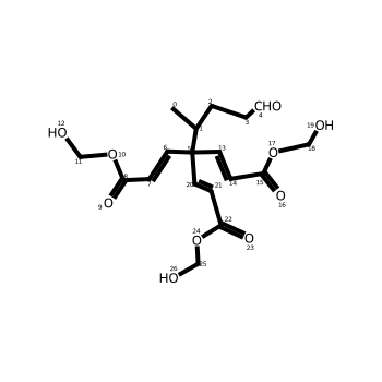 CC(CCC=O)C(C=CC(=O)OCO)(C=CC(=O)OCO)C=CC(=O)OCO